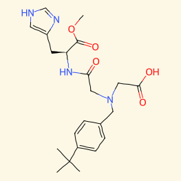 COC(=O)[C@H](Cc1c[nH]cn1)NC(=O)CN(CC(=O)O)Cc1ccc(C(C)(C)C)cc1